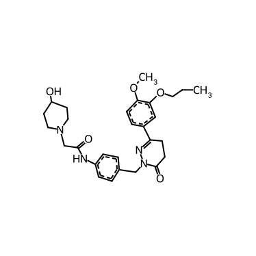 CCCOc1cc(C2=NN(Cc3ccc(NC(=O)CN4CCC(O)CC4)cc3)C(=O)CC2)ccc1OC